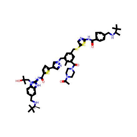 CC(=O)N1CCN(C(=O)c2cc(CSc3cnc(NC(=O)c4ccc(CNC(C)C(C)(C)C)cc4)s3)cc(Cn3cc(-c4ccc(C(=O)/N=c5\[nH]c6cc(CN[C@@H](C)C(C)(C)C)ccc6n5CC(C)(C)O)s4)cn3)c2C)CC1